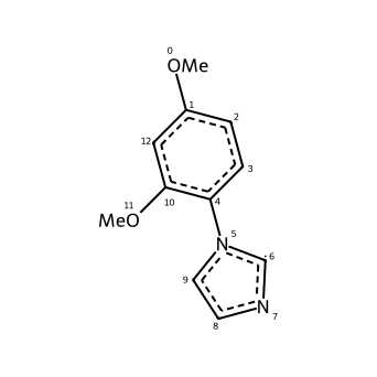 COc1ccc(-n2[c]ncc2)c(OC)c1